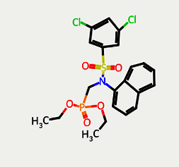 CCOP(=O)(CN(c1cccc2ccccc12)S(=O)(=O)c1cc(Cl)cc(Cl)c1)OCC